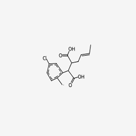 [CH2]c1ccc(Cl)cc1C(C(=O)O)C(CC=CC)C(=O)O